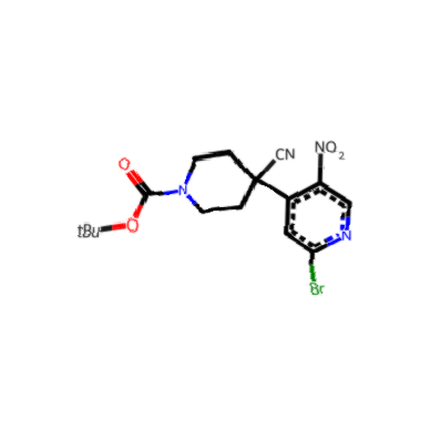 CC(C)(C)OC(=O)N1CCC(C#N)(c2cc(Br)ncc2[N+](=O)[O-])CC1